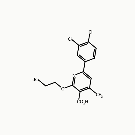 CC(C)(C)CCOc1nc(-c2ccc(Cl)c(Cl)c2)cc(C(F)(F)F)c1C(=O)O